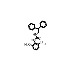 Cc1cccc(C)c1NC(=O)NCC(c1ccccc1)c1ccccc1